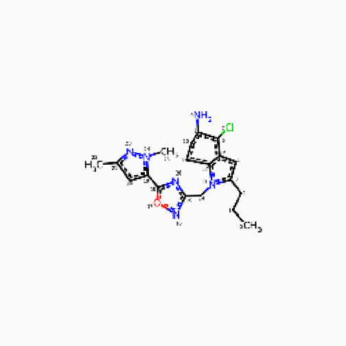 CCCc1cc2c(Cl)c(N)ccc2n1Cc1noc(-c2cc(C)nn2C)n1